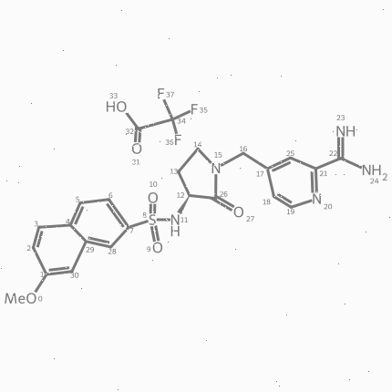 COc1ccc2ccc(S(=O)(=O)N[C@H]3CCN(Cc4ccnc(C(=N)N)c4)C3=O)cc2c1.O=C(O)C(F)(F)F